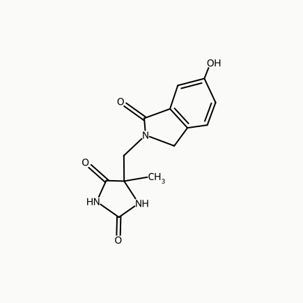 CC1(CN2Cc3ccc(O)cc3C2=O)NC(=O)NC1=O